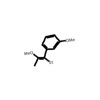 CC/C(=C(\C)OC)c1cccc(OC)c1